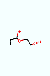 [CH2]CC(O)OCCO